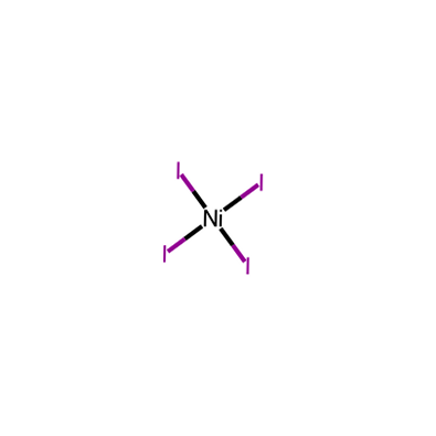 [I][Ni]([I])([I])[I]